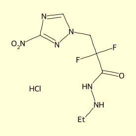 CCNNC(=O)C(F)(F)Cn1cnc([N+](=O)[O-])n1.Cl